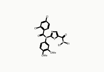 CCN(CC)C(=O)c1cnc(N(C(=O)c2ccc(Cl)cc2Cl)c2ccc(OC)c(OC)c2)s1